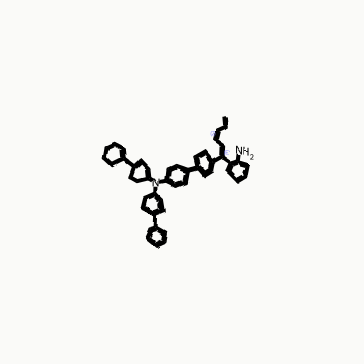 C=C/C=C\C=C(/c1ccc(-c2ccc(N(C3=CC=C(C4=CC=CCC4)CC3)c3ccc(-c4ccccc4)cc3)cc2)cc1)c1ccccc1N